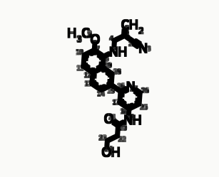 C=C(C#N)CNc1c(OC)ccc2ccc(-c3cc(NC(=O)CCO)ccn3)cc12